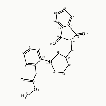 COC(=O)Cc1ccccc1N1CCCC(CN2C(=O)c3ccccc3C2=O)C1